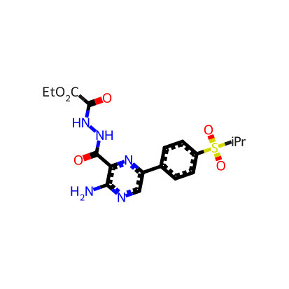 CCOC(=O)C(=O)NNC(=O)c1nc(-c2ccc(S(=O)(=O)C(C)C)cc2)cnc1N